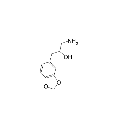 NCC(O)Cc1ccc2c(c1)OCO2